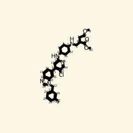 COC1CC(CNC2CCC(Nc3cc(-c4ccc5ncn(Cc6cccc(F)c6)c5c4)c(Cl)cn3)CC2)C(OC)O1